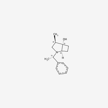 C[C@@H]1CN([C@@H](C)c2ccccc2)[C@@H]2CC[C@]12O